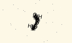 C=c1c(=O)[nH]c2n1Cc1cc(OCCCC(=O)NN3CCCC3)ccc1N=2